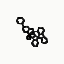 Clc1cc(-c2cccc3c2C(c2ccccc2)(c2ccccc2)c2ccccc2-3)cc2cc(-c3ccccc3)ccc12